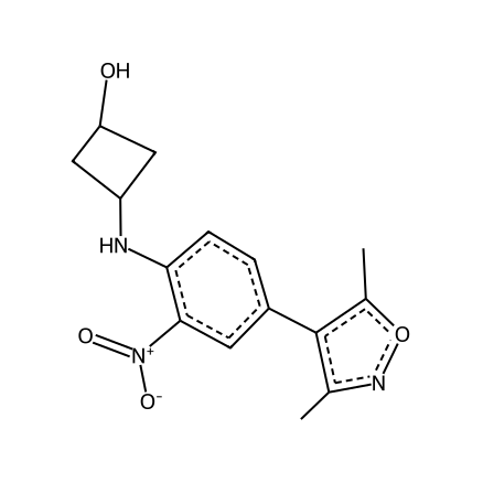 Cc1noc(C)c1-c1ccc(NC2CC(O)C2)c([N+](=O)[O-])c1